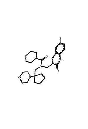 Cc1ccc2[nH]c(=O)c(CN(CC3(N4CCOCC4)CCCC3)C(=O)C3CCCCC3)cc2c1